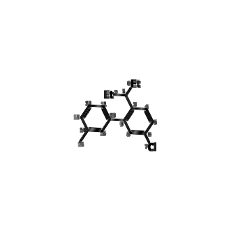 CCC(CC)c1ccc(Cl)cc1-c1cccc(C)c1